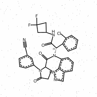 N#Cc1cccc(N2C(=O)CCC2C(=O)N(c2cccc3cn[nH]c23)[C@H](C(=O)NC2CC(F)(F)C2)c2ccccc2Cl)c1